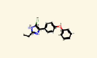 CCc1nc(-c2ccc(Oc3ccccc3)cc2)c(Cl)[nH]1